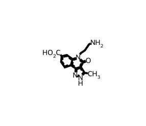 Cc1[nH]nc2c1c(=O)n(CCCN)c1cc(C(=O)O)ccc21